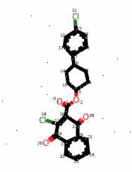 O=C(OC1CCC(c2ccc(Cl)cc2)CC1)C1=C(Cl)C(=O)c2ccccc2C1=O